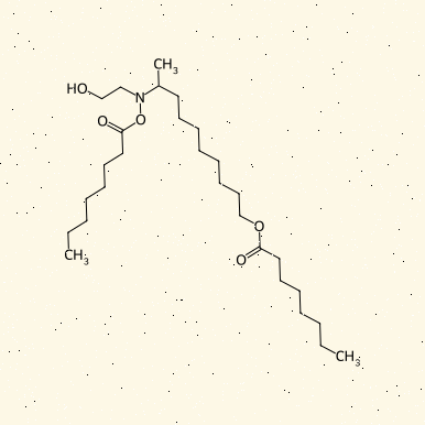 CCCCCCCC(=O)OCCCCCCCCC(C)N(CCO)OC(=O)CCCCCCC